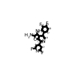 Nc1oc2c(-c3cc(F)nc(F)c3)ncc(-c3ccc(F)c(F)c3)c2c1N